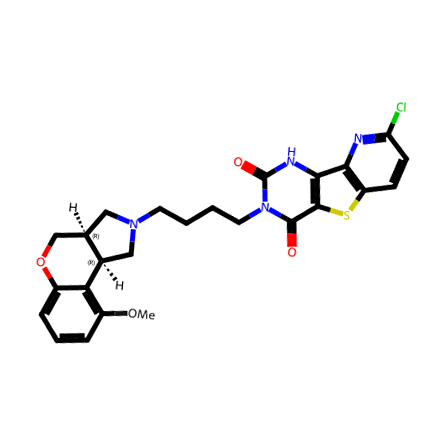 COc1cccc2c1[C@@H]1CN(CCCCn3c(=O)[nH]c4c(sc5ccc(Cl)nc54)c3=O)C[C@@H]1CO2